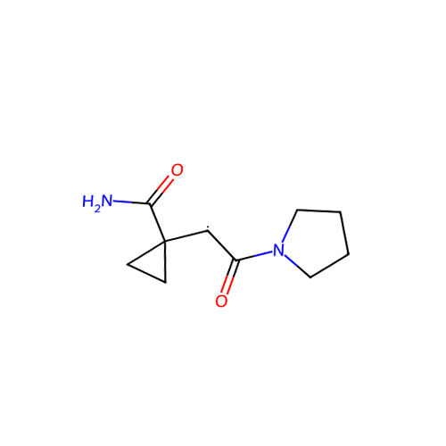 NC(=O)C1([CH]C(=O)N2CCCC2)CC1